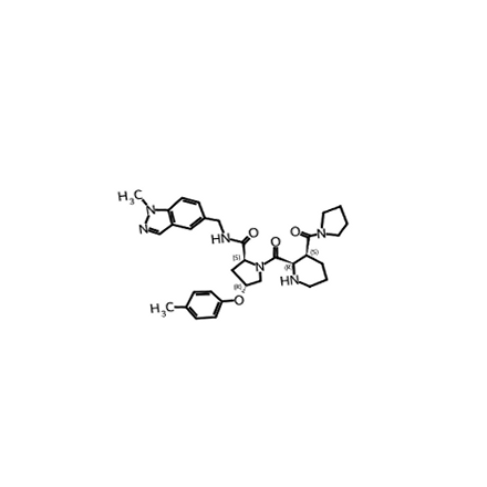 Cc1ccc(O[C@@H]2C[C@@H](C(=O)NCc3ccc4c(cnn4C)c3)N(C(=O)[C@@H]3NCCC[C@@H]3C(=O)N3CCCC3)C2)cc1